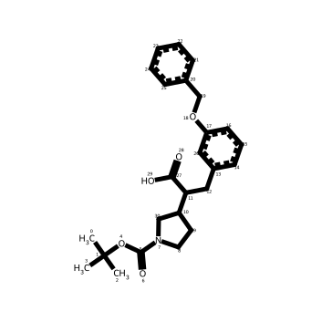 CC(C)(C)OC(=O)N1CCC(C(Cc2cccc(OCc3ccccc3)c2)C(=O)O)C1